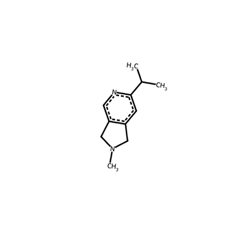 CC(C)c1cc2c(cn1)CN(C)C2